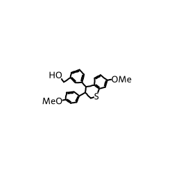 COc1ccc(C2CSc3cc(OC)ccc3C2c2cccc(CO)c2)cc1